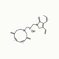 C=CC1=C(/C=C\C)C(=O)N(C[C@H](O)CN2CCC(=C)/C=C\C=C/C(=C)C2)C1